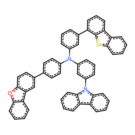 c1cc(-c2cccc3c2sc2ccccc23)cc(N(c2ccc(-c3ccc4oc5ccccc5c4c3)cc2)c2cccc(-n3c4ccccc4c4ccccc43)c2)c1